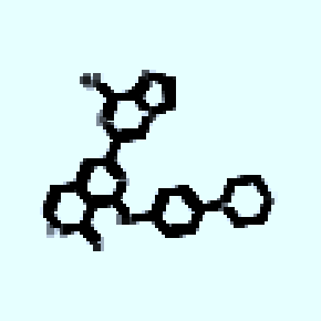 Cc1nc(-c2cc3cc[nH]c(=O)c3c(Nc3ccc(N4CCOCC4)cc3)n2)cn2ccnc12